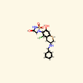 O=C1CN(c2c(O)cc3c(c2F)C[C@H](NCc2ccccc2)CS3)S(=O)(=O)N1